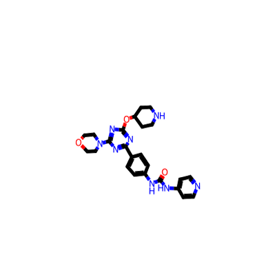 O=C(Nc1ccncc1)Nc1ccc(-c2nc(OC3CCNCC3)nc(N3CCOCC3)n2)cc1